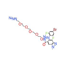 Cn1cnc2c(F)c(Nc3ccc(Br)cc3F)c(C(=O)NOCCOCCOCCOCCOCCN=[N+]=[N-])cc21